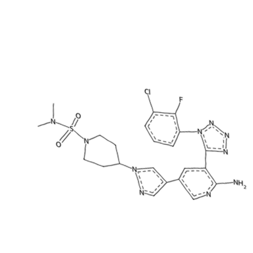 CN(C)S(=O)(=O)N1CCC(n2cc(-c3cnc(N)c(-c4nnnn4-c4cccc(Cl)c4F)c3)cn2)CC1